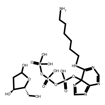 NCCCCCCNC1=NC=NC2=NC=NC21OP(=O)(O)OP(=O)(O)OP(=O)(O)O.OC[C@H]1OC(O)C[C@@H]1O